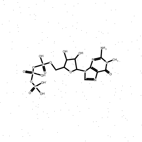 Cn1c(N)nc2c(ncn2C2OC(COP(=O)(O)OP(=O)(O)OP(=O)(O)O)C(O)C2O)c1=O